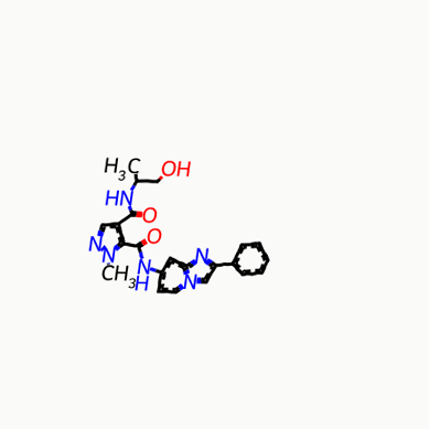 CC(CO)NC(=O)c1cnn(C)c1C(=O)Nc1ccn2cc(-c3ccccc3)nc2c1